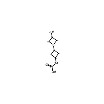 O=C(O)NC1CC(N2CC(S)C2)C1